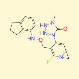 CN1NNN(C2=CC3CN3C(F)=C2CONc2cccc3c2CCC3)C1=O